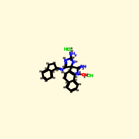 Cl.Cl.N=C(NO)C1(c2ccc3ccccc3c2)N=C(N)N=C1N=C1CCc2ccccc21